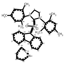 Cc1cc(C)c(N2CCN(c3c(C)cc(C)cc3C)[C]2=[Ru]([Cl])([Cl])=[C]2c3ccccc3-c3ccccc32)c(C)c1.c1ccncc1